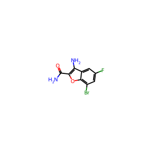 NC(=O)c1oc2c(Br)cc(F)cc2c1N